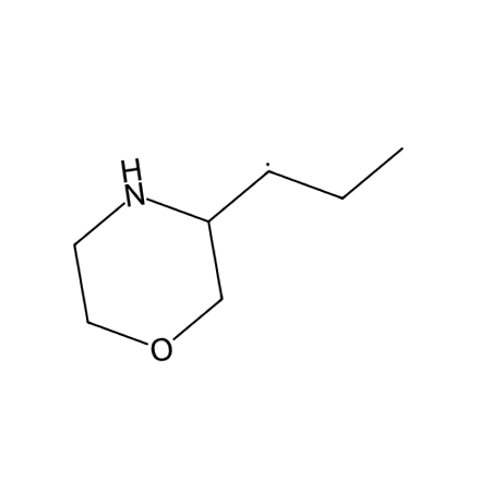 CC[CH]C1COCCN1